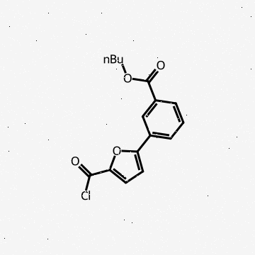 CCCCOC(=O)c1cccc(-c2ccc(C(=O)Cl)o2)c1